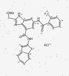 COCc1nc2c(C(=O)Nc3nc4ccccc4s3)cc(NC(=O)c3ccccc3C(F)(F)F)cc2[nH]1.Cl